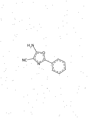 N#Cc1nc(-c2ccccc2)oc1N